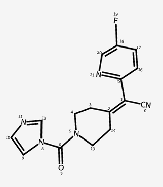 N#CC(=C1CCN(C(=O)n2ccnc2)CC1)c1ccc(F)cn1